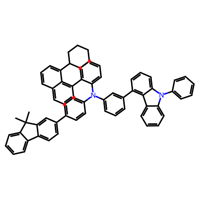 CC1(C)c2ccccc2-c2ccc(-c3ccc(N(c4cccc(-c5cccc6c5c5ccccc5n6-c5ccccc5)c4)c4ccccc4-c4cccc5cccc(C6CCCCC6)c45)cc3)cc21